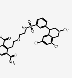 CN1Cc2c(Cl)cc(Cl)cc2C(c2cccc(S(=O)(=O)NCCOCCc3c(C(N)=O)cccc3C(N)=O)c2)C1